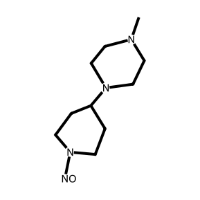 CN1CCN(C2CCN(N=O)CC2)CC1